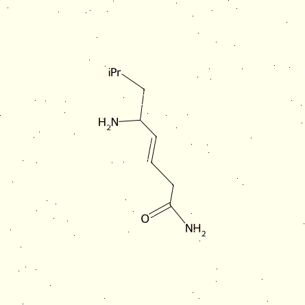 CC(C)CC(N)/C=C/CC(N)=O